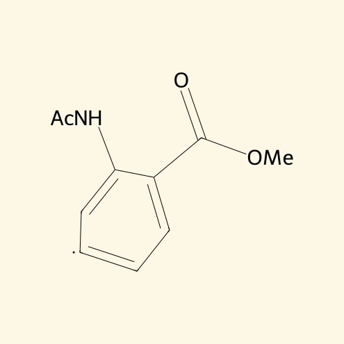 COC(=O)c1cc[c]cc1NC(C)=O